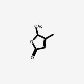 CC(=O)OC1OC(=O)C=C1C